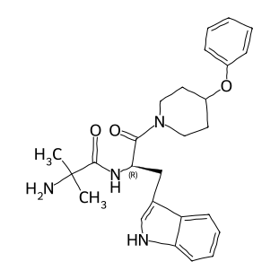 CC(C)(N)C(=O)N[C@H](Cc1c[nH]c2ccccc12)C(=O)N1CCC(Oc2ccccc2)CC1